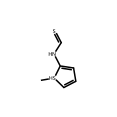 C[SH]1C=CC=C1NC=S